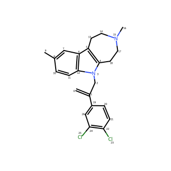 C=C(Cn1c2c(c3cc(C)ccc31)CCN(C)CC2)c1ccc(Cl)c(Cl)c1